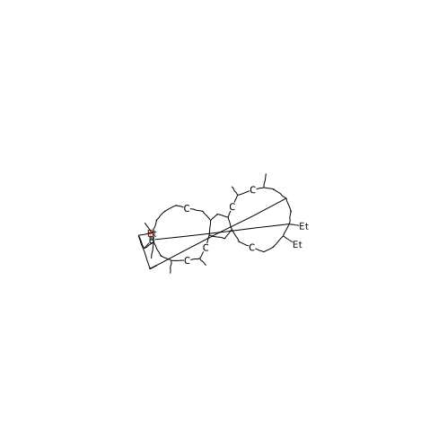 CCB1C2C3CC4CC(C)CC(C)CC5CC6CCCCCC3(C)C2(C)CC(C)CC(C)CC6CC5CCCCC(CC)C1(CC)C4